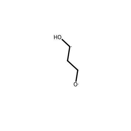 [O]CC[CH]O